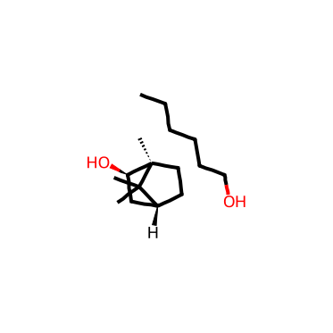 CC1(C)[C@@H]2CC[C@]1(C)[C@H](O)C2.CCCCCCO